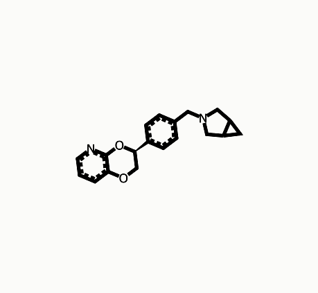 c1cnc2c(c1)OC[C@H](c1ccc(CN3CC4CC4C3)cc1)O2